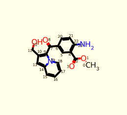 COC(=O)c1cc(C(=O)c2c(CO)cc3ccccn23)ccc1N